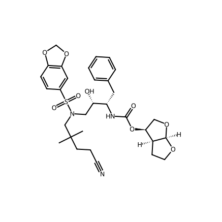 CC(C)(CCC#N)CN(C[C@H](O)[C@H](Cc1ccccc1)NC(=O)O[C@H]1CO[C@H]2OCC[C@H]21)S(=O)(=O)c1ccc2c(c1)OCO2